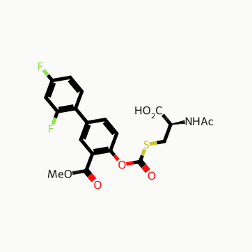 COC(=O)c1cc(-c2ccc(F)cc2F)ccc1OC(=O)SC[C@H](NC(C)=O)C(=O)O